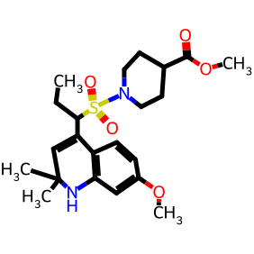 CCC(C1=CC(C)(C)Nc2cc(OC)ccc21)S(=O)(=O)N1CCC(C(=O)OC)CC1